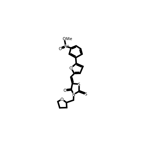 CO[N+](=O)c1cccc(-c2ccc(/C=C3\SC(=S)N(CC4CCCO4)C3=O)o2)c1